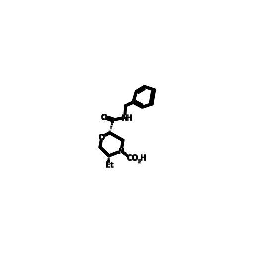 CC[C@@H]1CO[C@H](C(=O)NCc2ccccc2)CN1C(=O)O